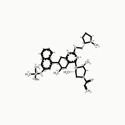 C=CC(=O)N1C[C@H](C)N(c2nc(OC[C@@H]3CCCN3C)nc3c2CC(C)C(c2cc(O[Si](C)(C)C(C)(C)C)cc4ccccc24)C3)[C@@H](C)C1